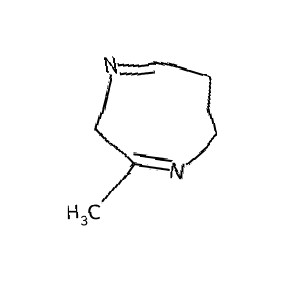 CC1=NCCC=NC1